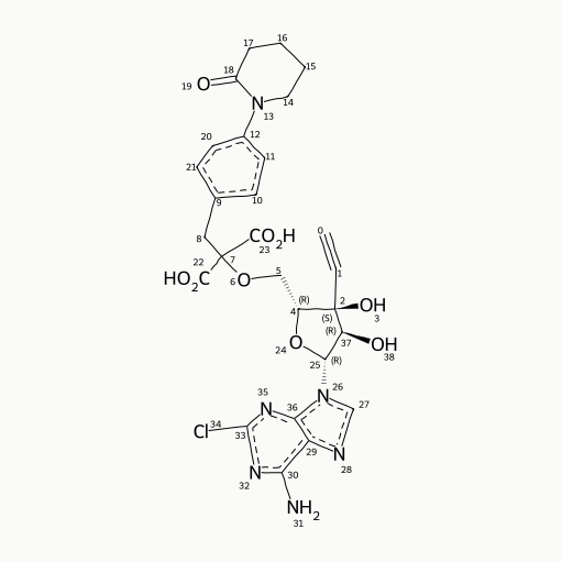 C#C[C@@]1(O)[C@@H](COC(Cc2ccc(N3CCCCC3=O)cc2)(C(=O)O)C(=O)O)O[C@@H](n2cnc3c(N)nc(Cl)nc32)[C@@H]1O